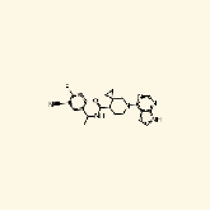 CC(NC(=O)C1CCN(c2ncnc3[nH]ccc23)CC12CC2)c1ccc(F)c(C#N)c1